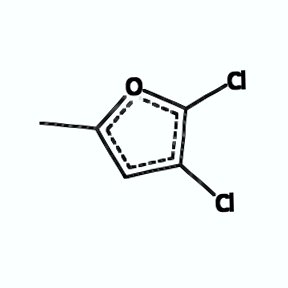 Cc1cc(Cl)c(Cl)o1